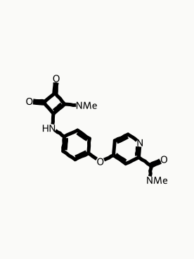 CNC(=O)c1cc(Oc2ccc(Nc3c(NC)c(=O)c3=O)cc2)ccn1